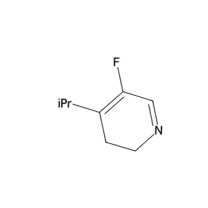 CC(C)C1=C(F)C=NCC1